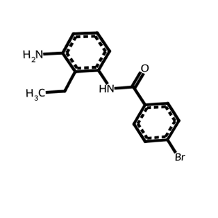 CCc1c(N)cccc1NC(=O)c1ccc(Br)cc1